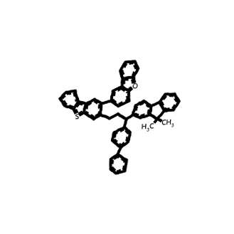 CC1(C)c2ccccc2-c2ccc(C(CCc3cc4sc5ccccc5c4cc3-c3ccc4oc5ccccc5c4c3)c3ccc(-c4ccccc4)cc3)cc21